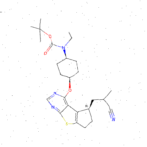 CCN(C(=O)OC(C)(C)C)[C@H]1CC[C@@H](Oc2ncnc3sc4c(c23)[C@@H](CC(C)C#N)CC4)CC1